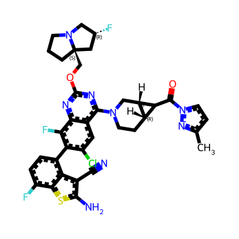 Cc1ccn(C(=O)C2[C@H]3CN(c4nc(OC[C@@]56CCCN5C[C@H](F)C6)nc5c(F)c(-c6ccc(F)c7sc(N)c(C#N)c67)c(Cl)cc45)CC[C@@H]23)n1